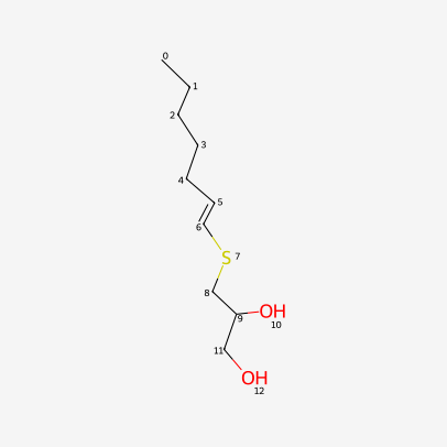 CCCCC/C=C/SCC(O)CO